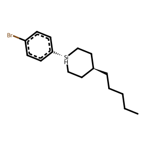 CCCCC[C@H]1CC[Si@H](c2ccc(Br)cc2)CC1